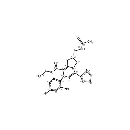 CCOC(=O)C1=C2C[C@H](CNC(C)=O)CN2C(c2nccs2)=N[C@H]1c1ccc(F)cc1Br